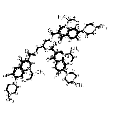 C[C@@H]1COc2c(N3CCN(C)CC3)c(F)cc3c(=O)c(C(=O)OCC(COC(=O)c4cn5c6c(c(N7CCN(C)CC7)c(F)cc6c4=O)OC[C@@H]5C)OC(=O)c4cn5c6c(c(N7CCN(C)CC7)c(F)cc6c4=O)OC[C@@H]5C)cn1c23